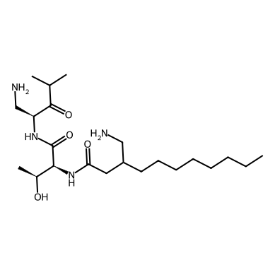 CCCCCCCCC(CN)CC(=O)N[C@H](C(=O)N[C@@H](CN)C(=O)C(C)C)[C@H](C)O